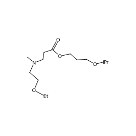 CCOCCN(C)CCC(=O)OCCCOC(C)C